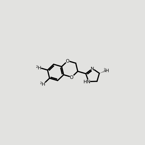 [2H]c1cc2c(cc1[2H])OC(C1=N[C@H]([2H])CN1)CO2